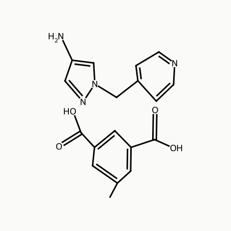 Cc1cc(C(=O)O)cc(C(=O)O)c1.Nc1cnn(Cc2ccncc2)c1